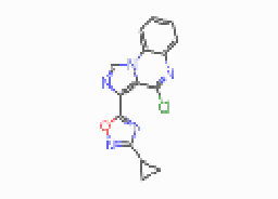 Clc1nc2ccccc2n2cnc(-c3nc(C4CC4)no3)c12